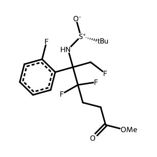 COC(=O)CCC(F)(F)C(CF)(N[S@+]([O-])C(C)(C)C)c1ccccc1F